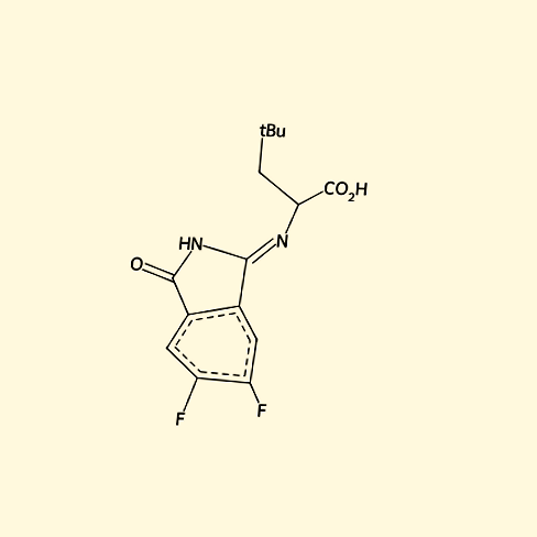 CC(C)(C)CC(/N=C1\NC(=O)c2cc(F)c(F)cc21)C(=O)O